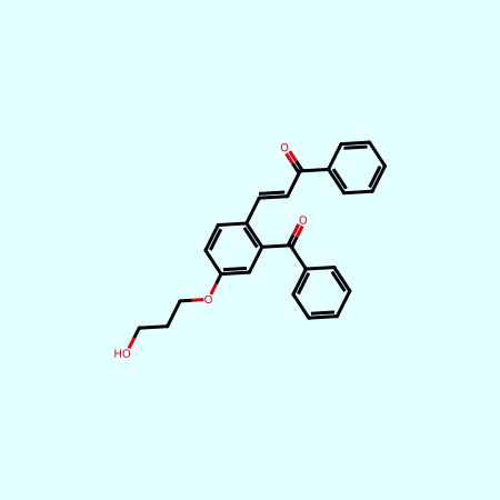 O=C(/C=C/c1ccc(OCCCO)cc1C(=O)c1ccccc1)c1ccccc1